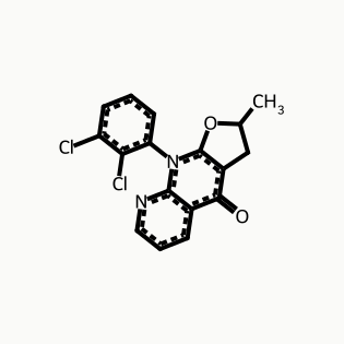 CC1Cc2c(n(-c3cccc(Cl)c3Cl)c3ncccc3c2=O)O1